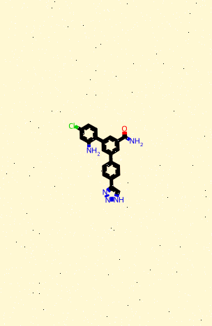 NC(=O)c1cc(-c2ccc(-c3c[nH]nn3)cc2)cc(-c2ccc(Cl)cc2N)c1